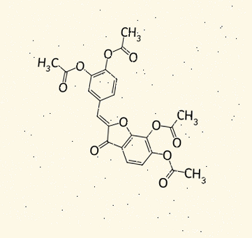 CC(=O)Oc1ccc(C=C2Oc3c(ccc(OC(C)=O)c3OC(C)=O)C2=O)cc1OC(C)=O